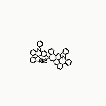 C#CC1(c2ccc3c(c2)C2(c4ccccc4-c4ccccc42)c2ccccc2N3c2ccccc2)Cc2cc3cccc4c5ccccc5n5c6ccccc6c6cc(c2c(c34)c65)-c2ccccc21